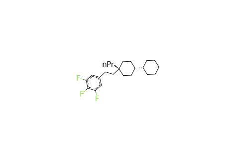 CCC[C@]1(CCc2cc(F)c(F)c(F)c2)CC[C@@H](C2CCCCC2)CC1